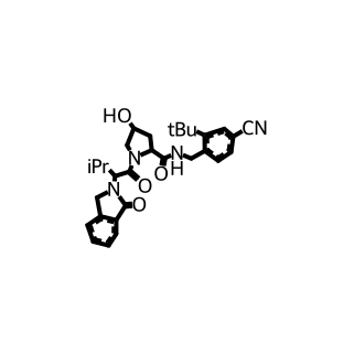 CC(C)C(C(=O)N1CC(O)CC1C(=O)NCc1ccc(C#N)cc1C(C)(C)C)N1Cc2ccccc2C1=O